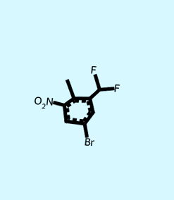 Cc1c(C(F)F)cc(Br)cc1[N+](=O)[O-]